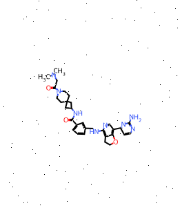 CN(C)CC(=O)N1CCC2(CC1)CC(NC(=O)c1cccc(CNc3ncc(-c4ccnc(N)n4)c4c3CCO4)c1)C2